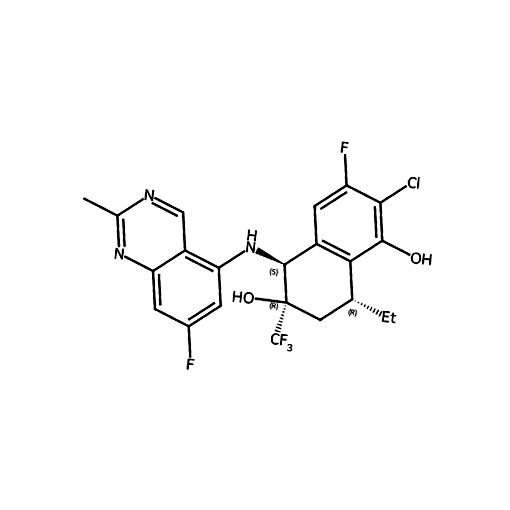 CC[C@@H]1C[C@](O)(C(F)(F)F)[C@@H](Nc2cc(F)cc3nc(C)ncc23)c2cc(F)c(Cl)c(O)c21